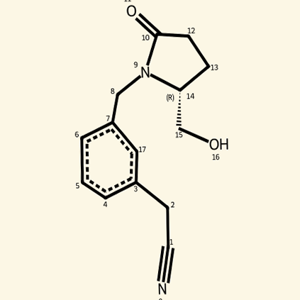 N#CCc1cccc(CN2C(=O)CC[C@@H]2CO)c1